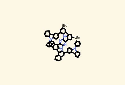 CC(C)(C)c1cc(-c2ccc3c(c2)c2ccccc2n3-c2ccccc2)c2c(c1)c1cc(C(C)(C)C)cc3c4nc5c(nc4n2c13)c1c2ccccc2cc2c3c4ccccc4cc(-c4ccc6c(c4)c4ccccc4n6-c4ccccc4)c3n5c21